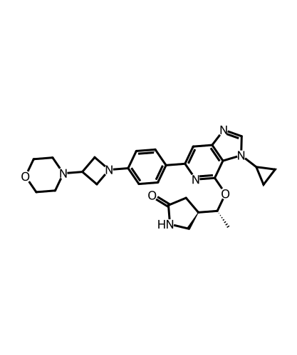 C[C@@H](Oc1nc(-c2ccc(N3CC(N4CCOCC4)C3)cc2)cc2ncn(C3CC3)c12)[C@H]1CNC(=O)C1